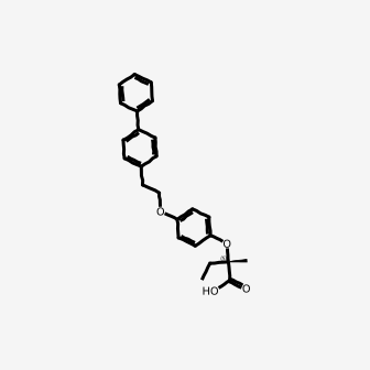 CC[C@](C)(Oc1ccc(OCCc2ccc(-c3ccccc3)cc2)cc1)C(=O)O